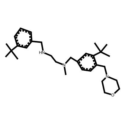 CN(CCNCc1cccc(C(C)(C)C)c1)Cc1ccc(CN2CCOCC2)c(C(C)(C)C)c1